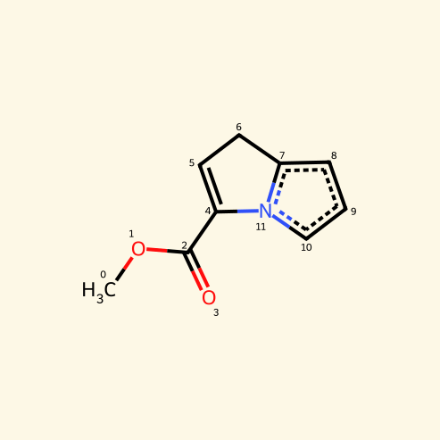 COC(=O)C1=CCc2cccn21